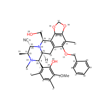 COc1c(C)cc(C)c([C@@H]2[C@@H]3Cc4c(OCc5ccccc5)c(C)c5c(c4[C@H](CO)N3[C@@H](C#N)[C@H](C)N2C)OCO5)c1O